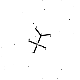 CC(C)[P](C)(C)C